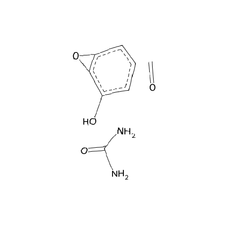 C=O.NC(N)=O.Oc1cccc2c1O2